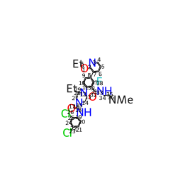 CCOc1ncccc1-c1ccc(N2CCN(C(=O)Nc3ccc(Cl)cc3Cl)C[C@H]2CC)c(C(=O)NCCNC)c1F